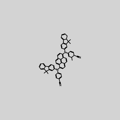 CC1C=C(N(c2ccc3c(c2)C(C)(C)C2CC=CC=C32)c2ccc3ccc4c(N(c5ccc(C#N)cc5)c5ccc6c(c5)C(C)(C)c5ccccc5-6)ccc5ccc2c3c54)C=CC1C#N